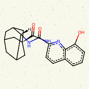 NC(=O)[C@]12CC3CC(C1)[C@@H](NC(=O)c1ccc4cccc(O)c4n1)C(C3)C2